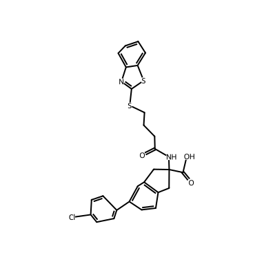 O=C(CCCSc1nc2ccccc2s1)NC1(C(=O)O)Cc2ccc(-c3ccc(Cl)cc3)cc2C1